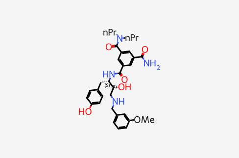 CCCN(CCC)C(=O)c1cc(C(N)=O)cc(C(=O)N[C@@H](Cc2ccc(O)cc2)[C@H](O)CNCc2cccc(OC)c2)c1